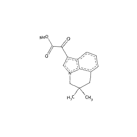 COC(=O)C(=O)c1cn2c3c(cccc13)CC(C)(C)C2